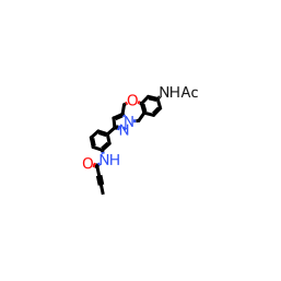 CC#CC(=O)Nc1cccc(-c2cc3n(n2)Cc2ccc(NC(C)=O)cc2OC3)c1